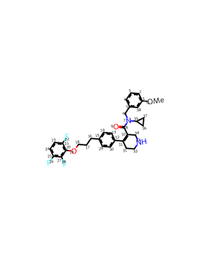 COc1cccc(CN(C(=O)C2=C(c3ccc(CCCOc4c(F)ccc(F)c4F)cc3)CCNC2)C2CC2)c1